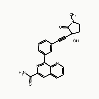 CN1CC[C@@](O)(C#Cc2cccc(-c3nc(C(N)=O)cc4cccnc34)c2)C1=O